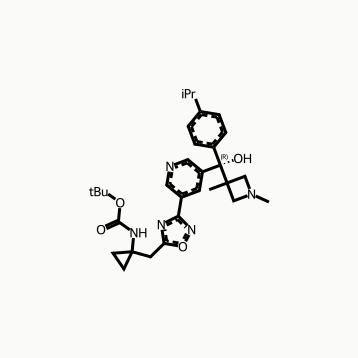 CC(C)c1ccc([C@](O)(c2cncc(-c3noc(CC4(NC(=O)OC(C)(C)C)CC4)n3)c2)C2(C)CN(C)C2)cc1